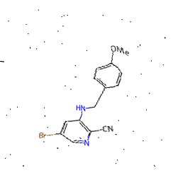 COc1ccc(CNc2cc(Br)cnc2C#N)cc1